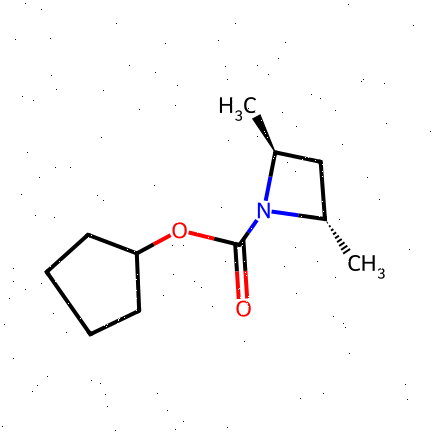 C[C@H]1C[C@H](C)N1C(=O)OC1CCCC1